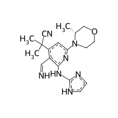 C[C@@H]1COCCN1c1cc(C(C)(C)C#N)c(C=N)c(Nc2ncc[nH]2)n1